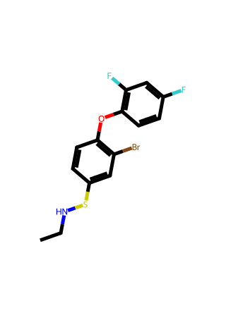 CCNSc1ccc(Oc2ccc(F)cc2F)c(Br)c1